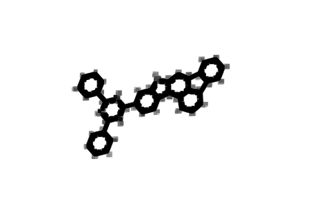 c1ccc(-c2nc(-c3ccccc3)nc(-c3ccc4c(c3)oc3cc5c6c(cccc6c34)-c3ccccc3-5)n2)cc1